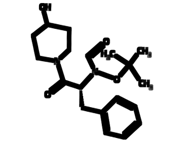 CC(C)(C)ON(C=O)[C@H](Cc1ccccc1)C(=O)N1CCC(O)CC1